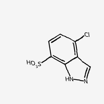 O=S(=O)(O)c1ccc(Cl)c2cn[nH]c12